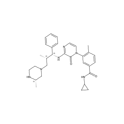 Cc1ccc(C(=O)NC2CC2)cc1-n1ccnc(N[C@@H](c2ccccc2)[C@@H](C)CN2CCN[C@@H](C)C2)c1=O